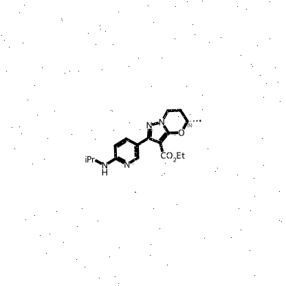 CCOC(=O)c1c(-c2ccc(NC(C)C)nc2)nn2c1O[C@@H](C)CC2